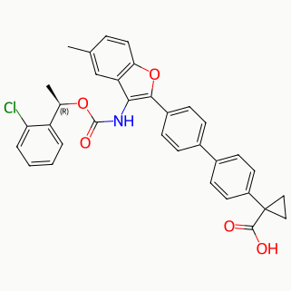 Cc1ccc2oc(-c3ccc(-c4ccc(C5(C(=O)O)CC5)cc4)cc3)c(NC(=O)O[C@H](C)c3ccccc3Cl)c2c1